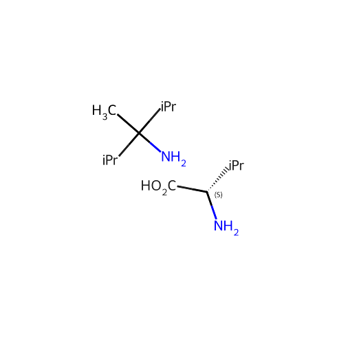 CC(C)C(C)(N)C(C)C.CC(C)[C@H](N)C(=O)O